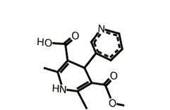 COC(=O)C1=C(C)NC(C)=C(C(=O)O)C1c1cccnc1